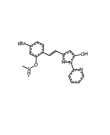 C[SiH](C)Oc1cc(C(C)(C)C)ccc1/C=C/c1cc(O)n(-c2ccccn2)n1